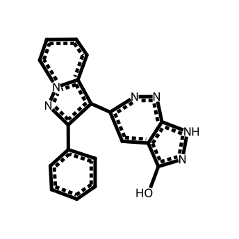 Oc1n[nH]c2nnc(-c3c(-c4ccccc4)nn4ccccc34)cc12